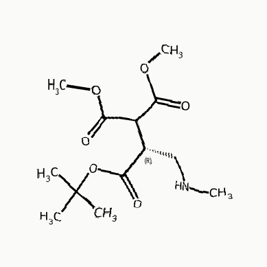 CNC[C@H](C(=O)OC(C)(C)C)C(C(=O)OC)C(=O)OC